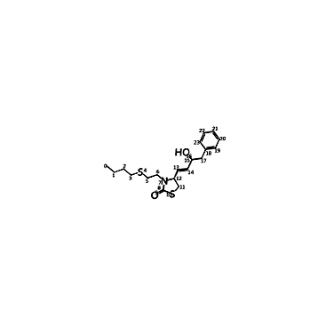 CCCCSCCN1C(=O)SC[C@@H]1/C=C/[C@@H](O)Cc1ccccc1